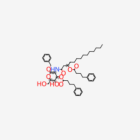 CCCCCCCCCCC[C@H](CC(=O)N[C@H]1[C@H](OCc2ccccc2)O[C@H](CO)[C@@H](O)[C@@H]1OC(=O)CCCc1ccccc1)OC(=O)CCCc1ccccc1